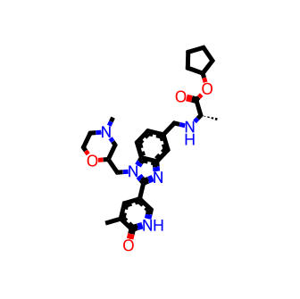 Cc1cc(-c2nc3cc(CN[C@@H](C)C(=O)OC4CCCC4)ccc3n2CC2CN(C)CCO2)c[nH]c1=O